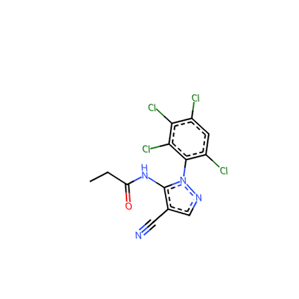 CCC(=O)Nc1c(C#N)cnn1-c1c(Cl)cc(Cl)c(Cl)c1Cl